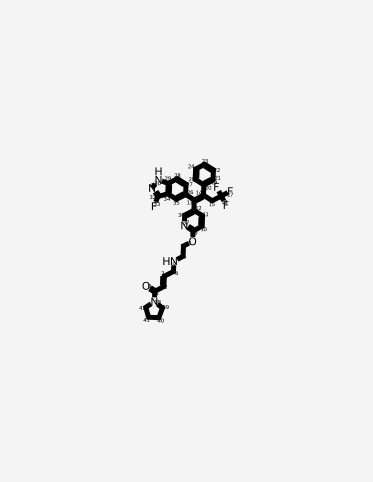 O=C(/C=C/CNCCOc1ccc(/C(=C(\CC(F)(F)F)c2ccccc2)c2ccc3[nH]nc(F)c3c2)cn1)N1CCCC1